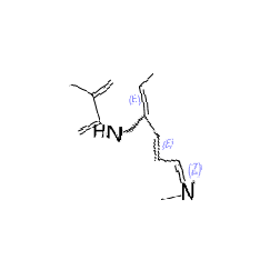 C=C(C)C(=C)NC(/C=C/C=N\C)=C/C